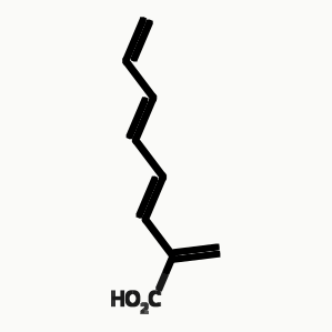 C=CC=CC=CC(=C)C(=O)O